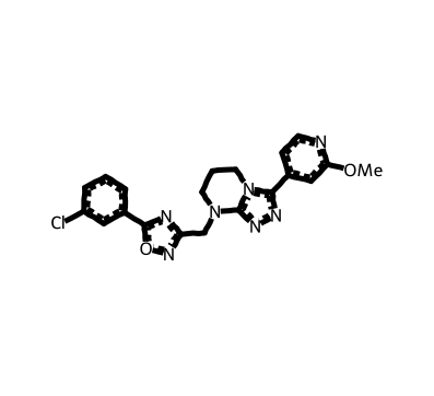 COc1cc(-c2nnc3n2CCCN3Cc2noc(-c3cccc(Cl)c3)n2)ccn1